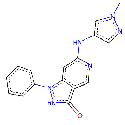 Cn1cc(Nc2cc3c(cn2)c(=O)[nH]n3-c2ccccc2)cn1